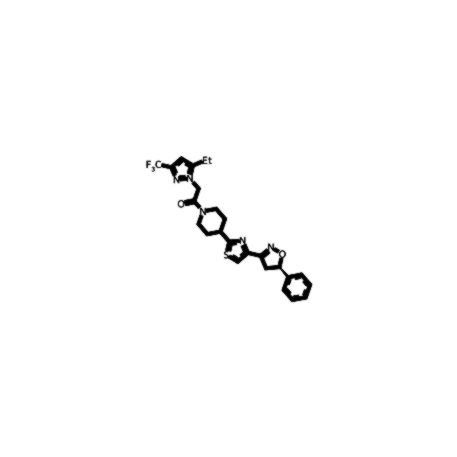 CCc1cc(C(F)(F)F)nn1CC(=O)N1CCC(c2nc(C3=NO[C@@H](c4ccccc4)C3)cs2)CC1